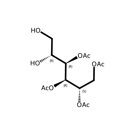 CC(=O)OC[C@H](OC(C)=O)[C@@H](OC(C)=O)[C@H](OC(C)=O)[C@H](O)CO